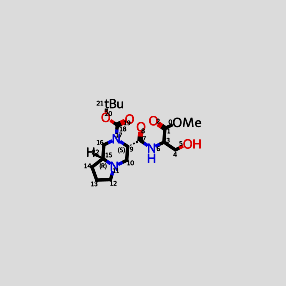 COC(=O)C(CO)NC(=O)[C@@H]1CN2CCC[C@@H]2CN1C(=O)OC(C)(C)C